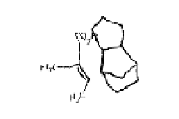 C1CC2C3CCC(C3)C2C1.CC=C(C)C(=O)O